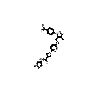 Cc1nnn(-c2ccc(C(F)F)cc2)c1COc1ccc(N2CC(C(=O)Nc3cnn(C)c3)C2)nn1